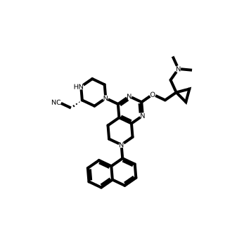 CN(C)CC1(COc2nc3c(c(N4CCN[C@@H](CC#N)C4)n2)CCN(c2cccc4ccccc24)C3)CC1